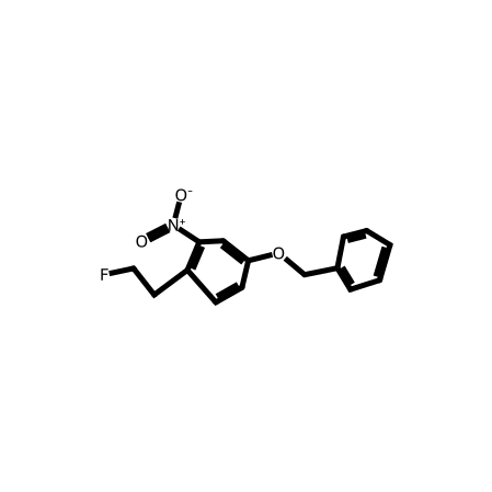 O=[N+]([O-])c1cc(OCc2ccccc2)ccc1CCF